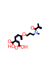 C=C(/C=C\C(=C\C(=O)O)C(=O)O)OCCCN(C)C(=O)C(=C)C